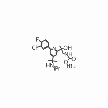 CC(C)NC(C)(C)c1cc(-c2ccc(F)c(Cl)c2)nc(C(C)(O)CNC(=O)OC(C)(C)C)c1